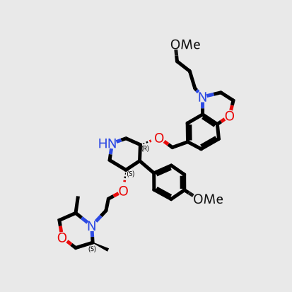 COCCCN1CCOc2ccc(CO[C@H]3CNC[C@@H](OCCN4C(C)COC[C@@H]4C)C3c3ccc(OC)cc3)cc21